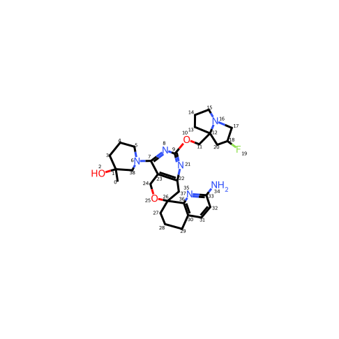 CC1(O)CCCN(c2nc(OCC34CCCN3CC(F)C4)nc3c2COC2(CCCc4ccc(N)nc42)C3)C1